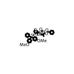 COc1ccc(C(SC[C@]23COC(C2O)[C@H](n2cc(C)c(OC(=O)c4ccccc4)nc2=O)O3)(c2ccccc2)c2ccc(OC)cc2)cc1